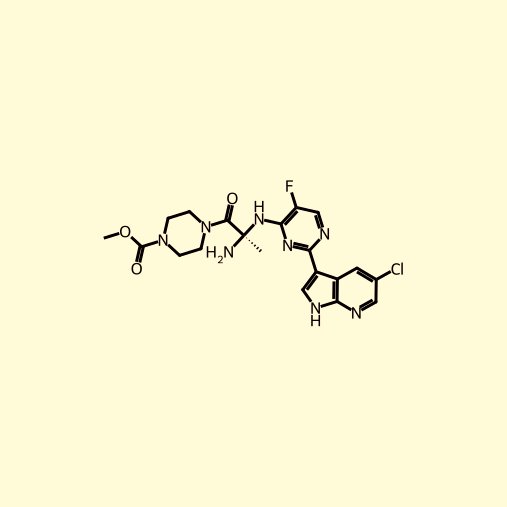 COC(=O)N1CCN(C(=O)[C@](C)(N)Nc2nc(-c3c[nH]c4ncc(Cl)cc34)ncc2F)CC1